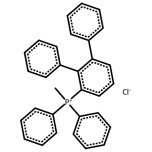 C[P+](c1ccccc1)(c1ccccc1)c1cccc(-c2ccccc2)c1-c1ccccc1.[Cl-]